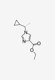 CCOC(=O)c1cn([C@@H](C)C2CC2)cn1